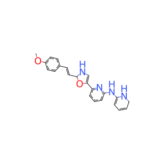 COc1ccc(/C=C/C2NC=C(c3cccc(NC4=CC=CCN4)n3)O2)cc1